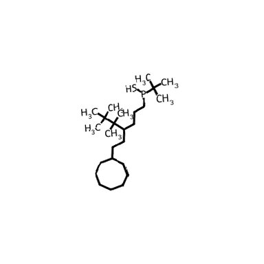 CC(C)(C)P(S)CCCC(CCC1CCCCCCC1)C(C)(C)C(C)(C)C